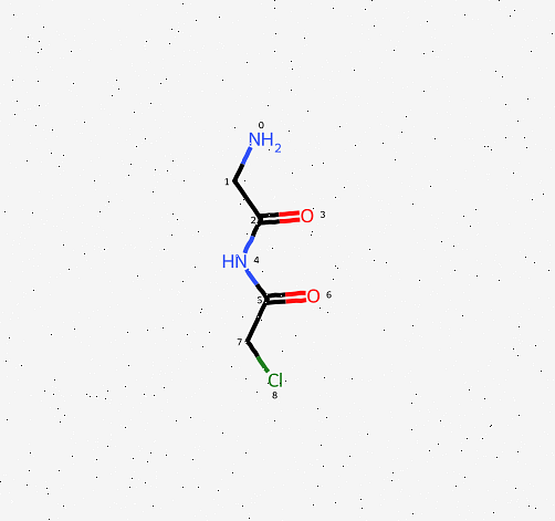 NCC(=O)NC(=O)CCl